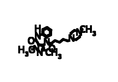 Cc1nn(C)c2c1N(C(=O)CCCCN1CCN(C)CC1)c1ccccc1NC2=O